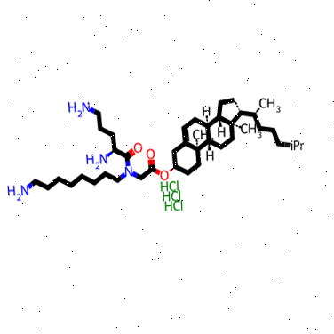 CC(C)CCC[C@@H](C)[C@H]1CC[C@H]2[C@@H]3CC=C4C[C@@H](OC(=O)CN(CCCCCCCCN)C(=O)[C@@H](N)CCCN)CC[C@]4(C)[C@H]3CC[C@]12C.Cl.Cl.Cl